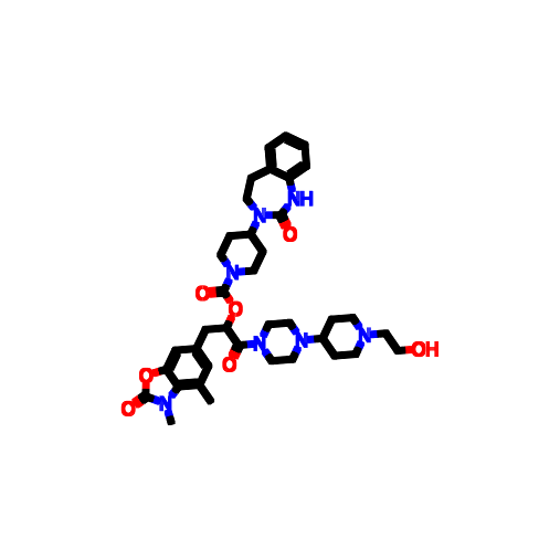 Cc1cc(CC(OC(=O)N2CCC(N3CCc4ccccc4NC3=O)CC2)C(=O)N2CCN(C3CCN(CCO)CC3)CC2)cc2oc(=O)n(C)c12